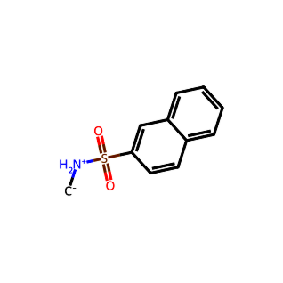 [CH2-][NH2+]S(=O)(=O)c1ccc2ccccc2c1